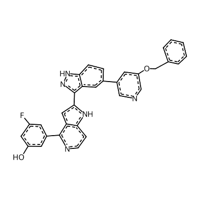 Oc1cc(F)cc(-c2nccc3[nH]c(-c4n[nH]c5ccc(-c6cncc(OCc7ccccc7)c6)cc45)cc23)c1